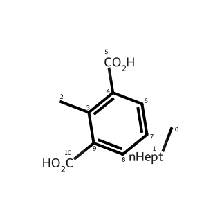 CCCCCCCC.Cc1c(C(=O)O)cccc1C(=O)O